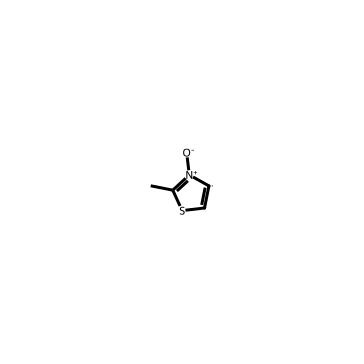 Cc1sc[c][n+]1[O-]